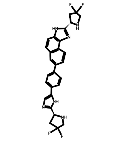 FC1(F)CN[C@H](c2ncc(-c3ccc(-c4ccc5c(ccc6[nH]c([C@@H]7CC(F)(F)CN7)nc65)c4)cc3)[nH]2)C1